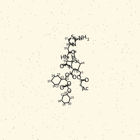 CC(=O)CC(=O)OCC1=C(C(=O)OC(OC(=O)OC2CCCCC2)C2CCCCC2)N2C(=O)[C@@H](NC(=O)Cc3csc(N)n3)[C@@H]2SC1